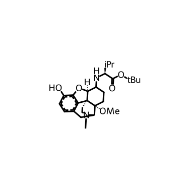 CO[C@@]12CCC(N[C@H](C(=O)OC(C)(C)C)C(C)C)[C@@H]3Oc4c(O)ccc5c4[C@@]31CCN(C)C2C5